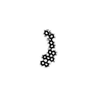 c1ccc2c(-c3c4ccccc4c(-c4ccc(-c5ccc6cc7c(cc6c5)sc5c7ccc6sc7ccccc7c65)c5ccccc45)c4ccccc34)cccc2c1